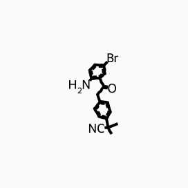 CC(C)(C#N)c1ccc(CC(=O)c2cc(Br)ccc2N)cc1